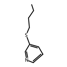 CCCCSc1cccnc1